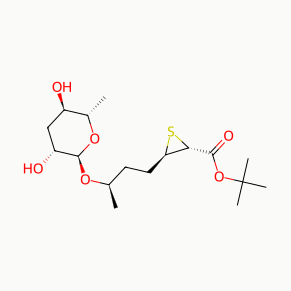 C[C@H](CC[C@H]1S[C@@H]1C(=O)OC(C)(C)C)O[C@@H]1O[C@@H](C)[C@H](O)C[C@H]1O